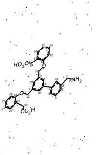 NCc1cccc(-c2cc(COc3ccccc3CC(=O)O)cc(COc3ccccc3CC(=O)O)c2)c1